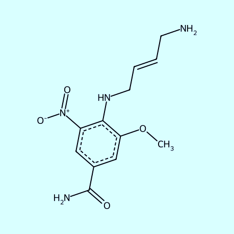 COc1cc(C(N)=O)cc([N+](=O)[O-])c1NCC=CCN